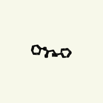 O=C(CNc1ccccc1)Oc1ccccc1